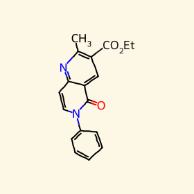 CCOC(=O)c1cc2c(=O)n(-c3ccccc3)ccc2nc1C